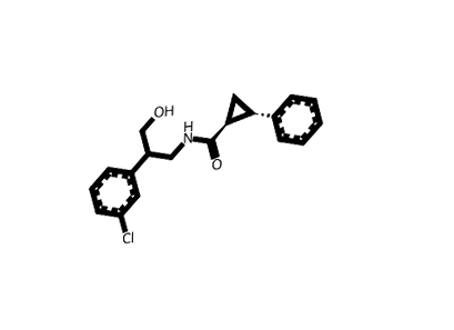 O=C(NCC(CO)c1cccc(Cl)c1)[C@H]1C[C@@H]1c1ccccc1